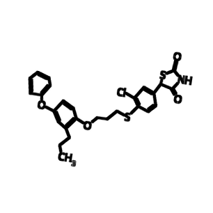 CCCc1cc(Oc2ccccc2)ccc1OCCCSc1ccc(C2SC(=O)NC2=O)cc1Cl